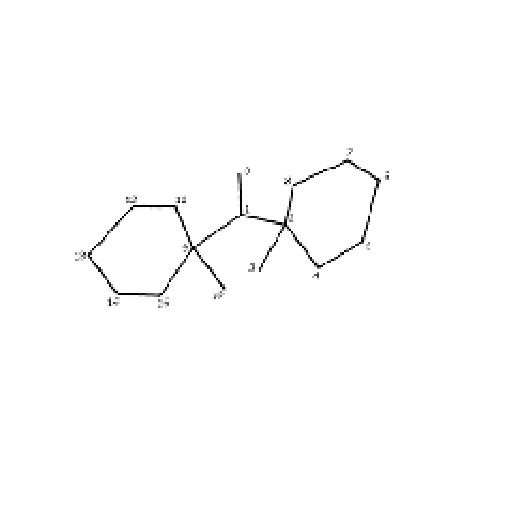 CC(C1(C)CCCCC1)C1(C)CCCCC1